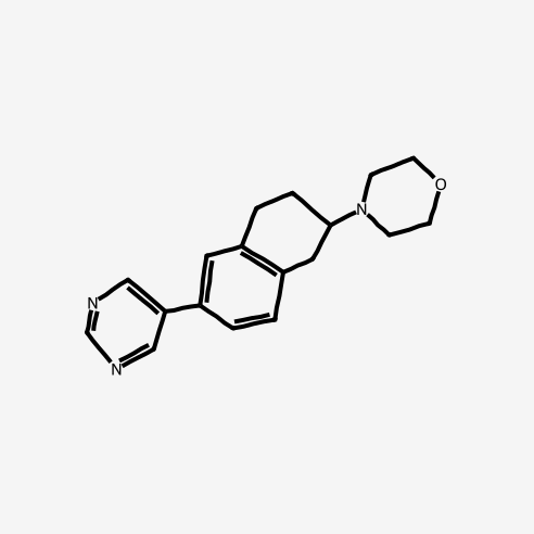 c1ncc(-c2ccc3c(c2)CCC(N2CCOCC2)C3)cn1